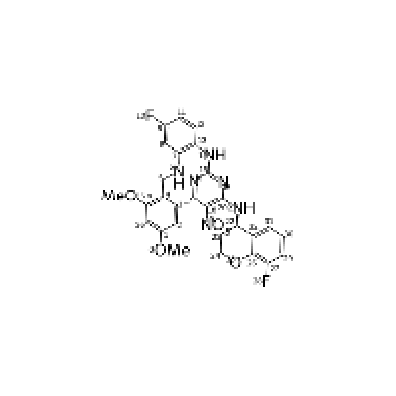 COc1ccc(CNc2cc(F)ccc2Nc2ncc([N+](=O)[O-])c(N[C@@H]3CCOc4c(F)cccc43)n2)c(OC)c1